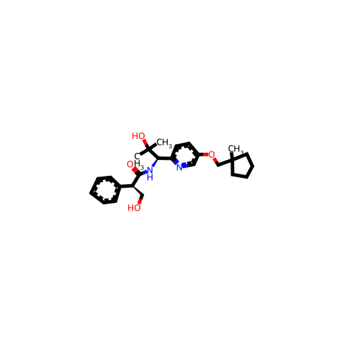 CC1(COc2ccc([C@@H](NC(=O)[C@@H](CO)c3ccccc3)C(C)(C)O)nc2)CCCC1